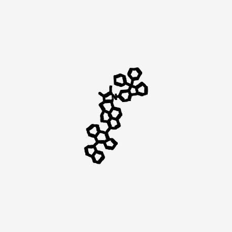 Cc1c(C)n(-c2ccc3c(c2)C(c2ccccc2)(c2ccccc2)c2ccccc2-3)c2c1cc1ccc3c(-c4c5ccccc5c(-c5cccc6ccccc56)c5ccccc45)ccc4ccc2c1c43